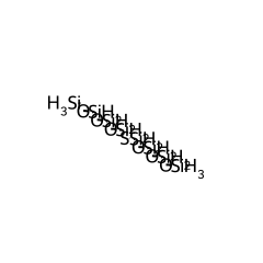 [SiH3]O[SiH2]O[SiH2]O[SiH2]S[SiH2]O[SiH2]O[SiH2]O[SiH3]